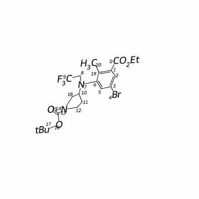 CCOC(=O)c1cc(Br)cc(N(CC(F)(F)F)C2CCN(C(=O)OC(C)(C)C)C2)c1C